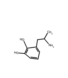 CC(N)Cc1cccc(O)c1O